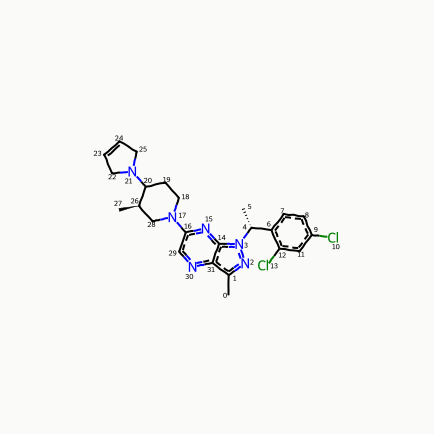 Cc1nn([C@H](C)c2ccc(Cl)cc2Cl)c2nc(N3CCC(N4CC=CC4)[C@H](C)C3)cnc12